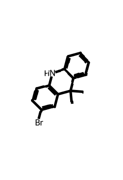 CC1(C)c2ccccc2Nc2ccc(Br)cc21